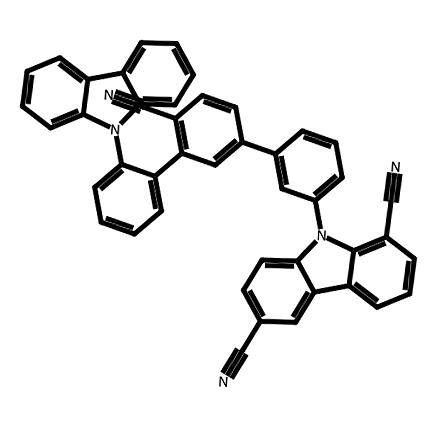 N#Cc1ccc2c(c1)c1cccc(C#N)c1n2-c1cccc(-c2ccc(C#N)c(-c3ccccc3-n3c4ccccc4c4ccccc43)c2)c1